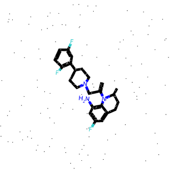 C=C(CN1CCC(c2cc(F)ccc2F)CC1)N1c2c(N)cc(F)cc2CCC1C